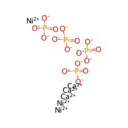 O=P([O-])([O-])[O-].O=P([O-])([O-])[O-].O=P([O-])([O-])[O-].O=P([O-])([O-])[O-].[Ca+2].[Ca+2].[Ca+2].[Ni+2].[Ni+2].[Ni+2]